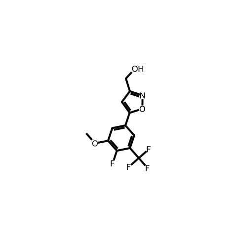 COc1cc(-c2cc(CO)no2)cc(C(F)(F)F)c1F